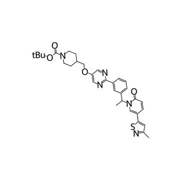 Cc1cc(-c2ccc(=O)n(C(C)c3cccc(-c4ncc(OCC5CCN(C(=O)OC(C)(C)C)CC5)cn4)c3)c2)sn1